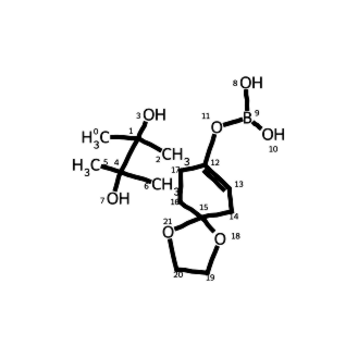 CC(C)(O)C(C)(C)O.OB(O)OC1=CCC2(CC1)OCCO2